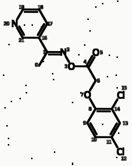 C/C(=N\OC(=O)COc1ccc(Cl)cc1Cl)c1cccnc1